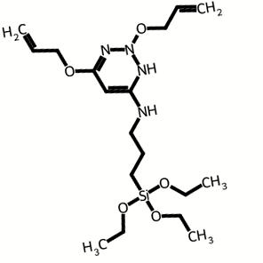 C=CCOC1=NN(OCC=C)NC(NCCC[Si](OCC)(OCC)OCC)=C1